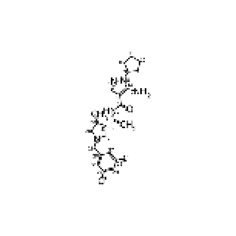 C=C(NC(=O)c1cnn(C2CCCC2)c1N)[C@@H]1CN(Cc2cc(Cl)cc(Cl)c2)C[C@H]1C